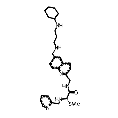 CS[C@H](NCc1ccccn1)C(=O)NCc1ccc2cc(CNCCCNC3CCCCC3)ccc2n1